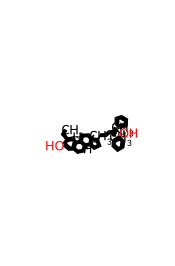 CCc1cc2c(cc1O)CC[C@@H]1[C@@H]2CC[C@]2(C)[C@@H](CCCC(C)(C)[Si](O)(c3ccccc3)c3ccccc3)CC[C@@H]12